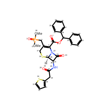 COP(=O)(CC1=C(C(=O)OC(c2ccccc2)c2ccccc2)N2C(=O)[C@@H](NC(=O)Cc3cccs3)[C@H]2SC1)OC